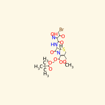 COCC1=C(C(=O)OCOC(=O)C(C)(C)C)N2C(=O)C(NC(=O)C(=NO)C(=O)CBr)[C@@H]2SC1